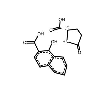 O=C(O)c1ccc2ccccc2c1O.O=C1CC[C@@H](C(=O)O)N1